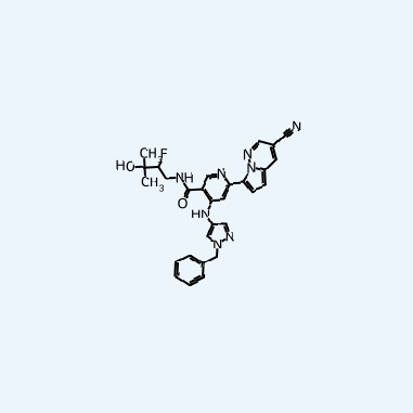 CC(C)(O)C(F)CNC(=O)c1cnc(-c2ccc3cc(C#N)cnn23)cc1Nc1cnn(Cc2ccccc2)c1